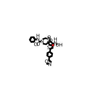 O=C(CC1(c2ccc(-c3ccc(-c4cnco4)cc3)s2)CCN(C(=O)Nc2ccccc2Cl)CCS1(=O)=O)NO